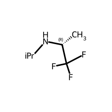 CC(C)N[C@H](C)C(F)(F)F